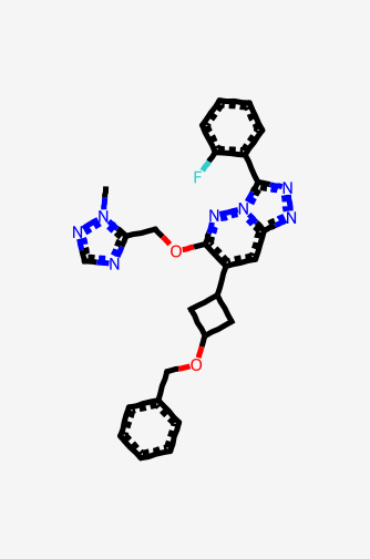 Cn1ncnc1COc1nn2c(-c3ccccc3F)nnc2cc1C1CC(OCc2ccccc2)C1